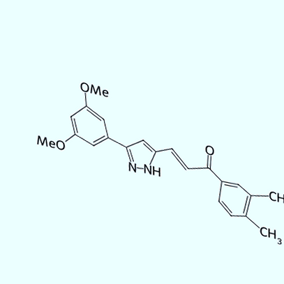 COc1cc(OC)cc(-c2cc(C=CC(=O)c3ccc(C)c(C)c3)[nH]n2)c1